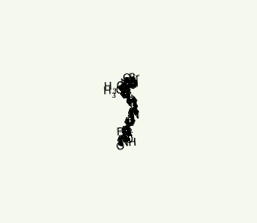 CC1(C)c2ccc(N3CCN(Cc4ccc(N5CCC(c6cc(F)c(C7CCC(=O)NC7=O)c(F)c6)CC5)nc4)CC3)cc2-n2c1nc(=O)c1c(Br)cccc12